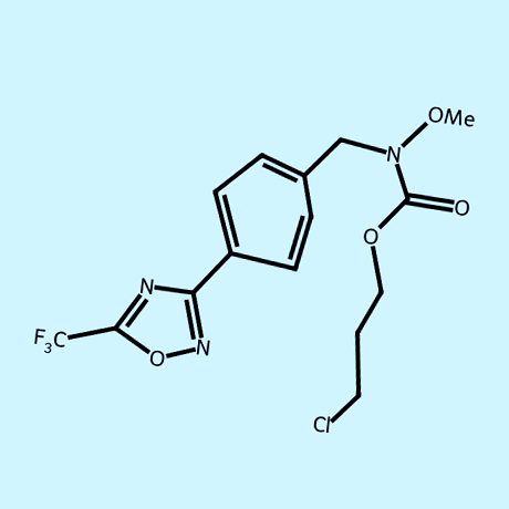 CON(Cc1ccc(-c2noc(C(F)(F)F)n2)cc1)C(=O)OCCCCl